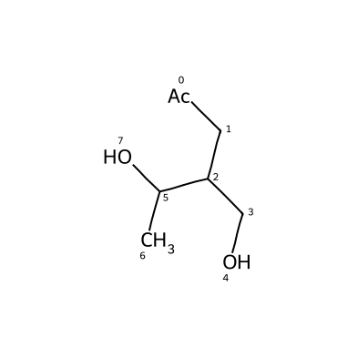 CC(=O)CC(CO)C(C)O